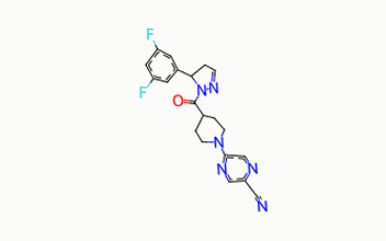 N#Cc1cnc(N2CCC(C(=O)N3N=CCC3c3cc(F)cc(F)c3)CC2)cn1